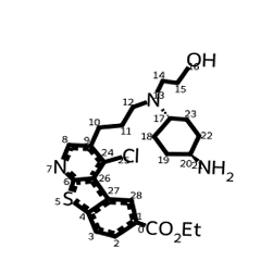 CCOC(=O)c1ccc2sc3ncc(CCCN(CCO)[C@H]4CC[C@H](N)CC4)c(Cl)c3c2c1